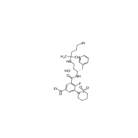 CCNc1cc(C(=O)N[C@@H](Cc2ccccc2)[C@H](O)CNC(C)(C)CCCC(C)C)c(F)c(N2CCCCS2(=O)=O)c1